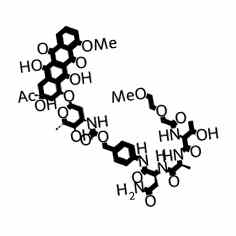 COCCOCC(=O)N[C@H](C(=O)N[C@@H](C)C(=O)N[C@@H](CC(N)=O)C(=O)Nc1ccc(COC(=O)N[C@H]2C[C@H](O[C@H]3C[C@](O)(C(C)=O)Cc4c(O)c5c(c(O)c43)C(=O)c3c(OC)cccc3C5=O)O[C@@H](C)[C@H]2O)cc1)C(C)O